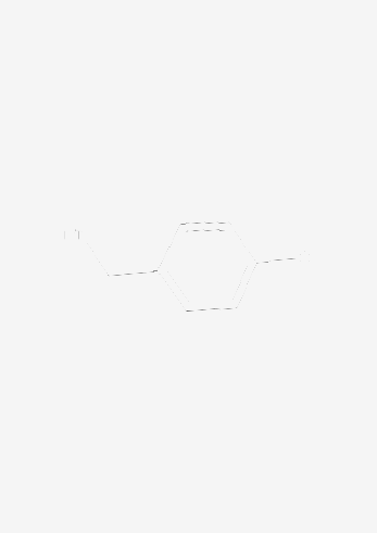 CC(C)Cc1ccc([O])cc1